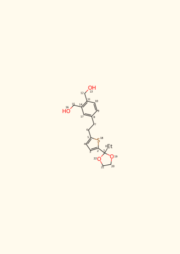 CCC1(c2ccc(CCc3ccc(CO)c(CO)c3)s2)OCCO1